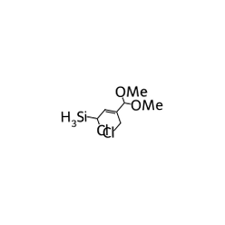 COC(OC)C(=CC([SiH3])Cl)CCl